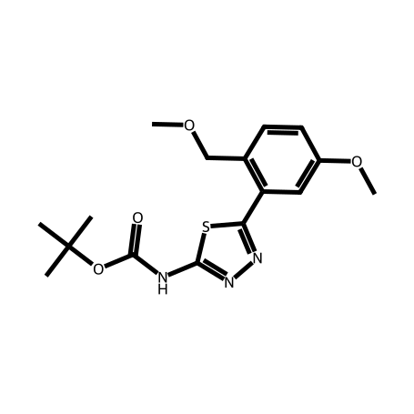 COCc1ccc(OC)cc1-c1nnc(NC(=O)OC(C)(C)C)s1